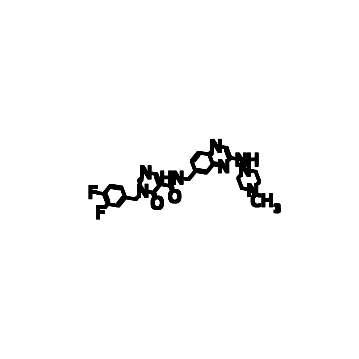 CN1CCN(Nc2cnc3ccc(CNC(=O)c4cncn(Cc5ccc(F)c(F)c5)c4=O)cc3n2)CC1